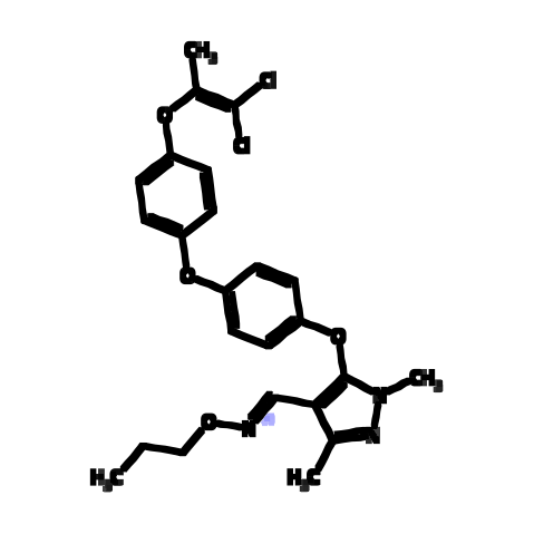 CCCO/N=C/c1c(C)nn(C)c1Oc1ccc(Oc2ccc(OC(C)=C(Cl)Cl)cc2)cc1